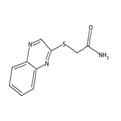 NC(=O)CSc1cnc2ccccc2n1